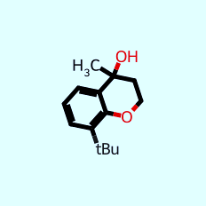 CC(C)(C)c1cccc2c1OCCC2(C)O